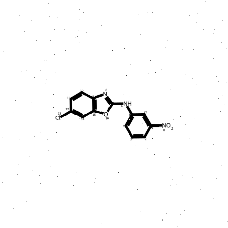 O=[N+]([O-])c1cccc(Nc2nc3ccc(Cl)cc3o2)c1